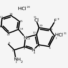 CC(N)c1nc2ccc(F)c(Cl)c2n1-c1ccccc1.Cl.Cl